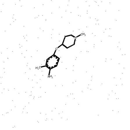 Cc1cc(OC2CCN(C)CC2)ccc1N